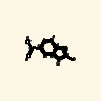 Cc1nc2ncc([N+](=O)[O-])cc2s1